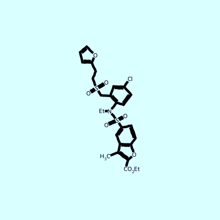 CCOC(=O)c1oc2ccc(S(=O)(=O)N(CC)c3ccc(Cl)cc3CS(=O)(=O)CCc3ccco3)cc2c1C